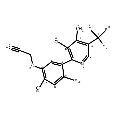 C#CCOc1cc(-c2ncc(C(F)(F)F)c(C)c2Cl)c(F)cc1Cl